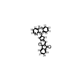 O=C1C(=CC2=CC=C(N3c4ccccc4[Te]c4cccnc43)C2)C(=O)c2ccccc21